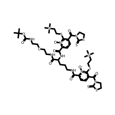 CC(C)(C)OC(=O)NCCOCCNC(=O)C(CCCNC(=O)c1ccc(C(=O)N2CCSC2=S)c(SCC[Si](C)(C)C)[n+]1[O-])NC(=O)c1ccc(C(=O)N2CCSC2=S)c(SCC[Si](C)(C)C)[n+]1[O-]